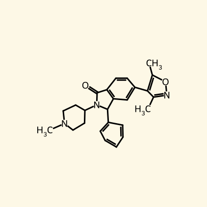 Cc1noc(C)c1-c1ccc2c(c1)C(c1ccccc1)N(C1CCN(C)CC1)C2=O